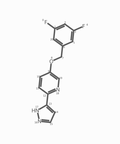 Fc1cc(F)cc(COc2ccc(-c3ccn[nH]3)nc2)c1